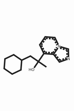 CC(O)(CC1CCCCC1)c1cccn2cncc12